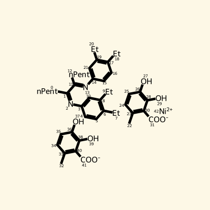 CCCCCC(=Nc1ccc(CC)c(CC)c1)C(CCCCC)=Nc1ccc(CC)c(CC)c1.Cc1ccc(O)c(O)c1C(=O)[O-].Cc1ccc(O)c(O)c1C(=O)[O-].[Ni+2]